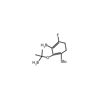 BC1=C(F)CCC(C(C)(C)C)=C1OC(B)(C)C